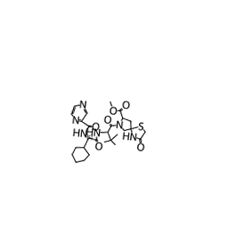 COC(=O)C1CC2(CN1C(=O)C(NC(=O)[C@@H](NC(=O)c1cnccn1)C1CCCCC1)C(C)(C)C)NC(=O)CS2